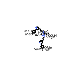 COc1cc(-c2cc(CCCN3CCN(CCCc4ccnc(-c5cc(OC)c(OC)c(OC)c5)c4)CC3)ccn2)cc(OC)c1OC.O=C(O)/C=C/C(=O)O.O=C(O)/C=C/C(=O)O